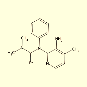 CCC(N(C)C)N(c1ccccc1)c1nccc(C)c1N